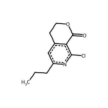 CCCc1cc2c(c(Cl)n1)C(=O)OCC2